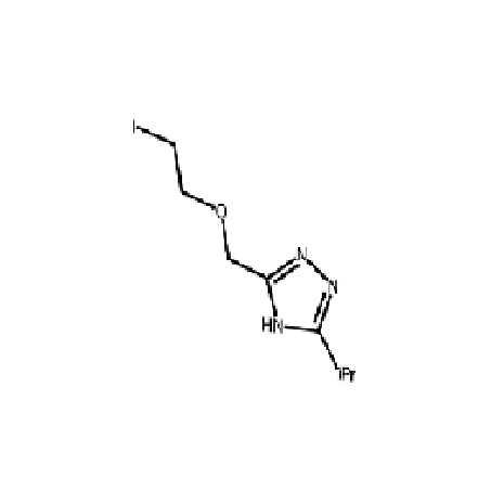 CC(C)c1nnc(COCCI)[nH]1